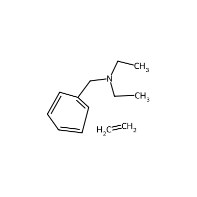 C=C.CCN(CC)Cc1ccccc1